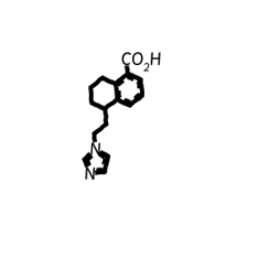 O=C(O)c1cccc2c1CCCC2CCn1ccnc1